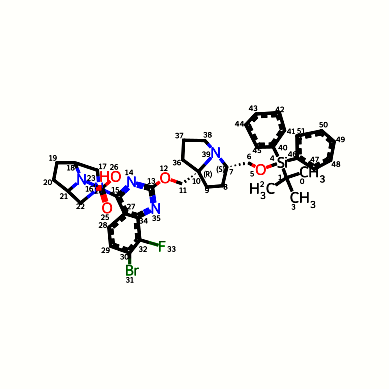 CC(C)(C)[Si](OC[C@@H]1CC[C@@]2(COc3nc(N4CC5CCC(C4)N5C(=O)O)c4ccc(Br)c(F)c4n3)CCCN12)(c1ccccc1)c1ccccc1